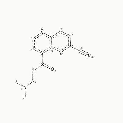 CN(C)C=CC(=O)c1ccnc2ccc(C#N)cc12